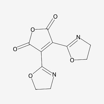 O=C1OC(=O)C(C2=NCCO2)=C1C1=NCCO1